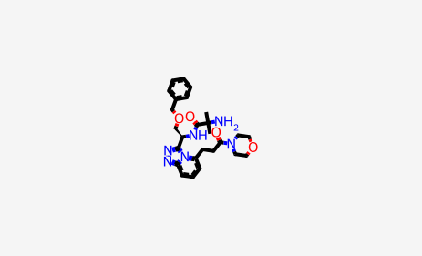 CC(C)(N)C(=O)N[C@H](COCc1ccccc1)c1nnc2cccc(CCC(=O)N3CCOCC3)n12